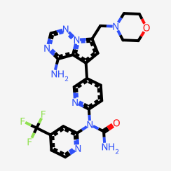 NC(=O)N(c1ccc(-c2cc(CN3CCOCC3)n3ncnc(N)c23)cn1)c1cc(C(F)(F)F)ccn1